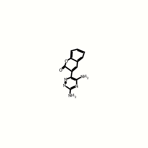 Nc1nnc(-c2cc3ccccc3oc2=O)c(N)n1